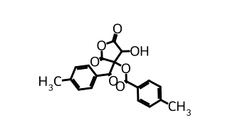 Cc1ccc(C(=O)OC2(C(=O)c3ccc(C)cc3)C(=O)OC(=O)C2O)cc1